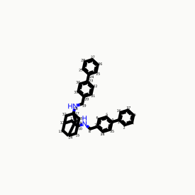 c1ccc(-c2ccc(CNC34CC5CC(C3)CC(NCc3ccc(-c6ccccc6)cc3)(C5)C4)cc2)cc1